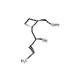 CC=C[C@H](O)[C@@H]1CC[C@H]1COC